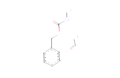 CC=O.CNC(=O)OCc1ccccc1